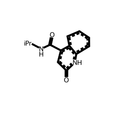 CC(C)NC(=O)c1cc(=O)[nH]c2ccccc12